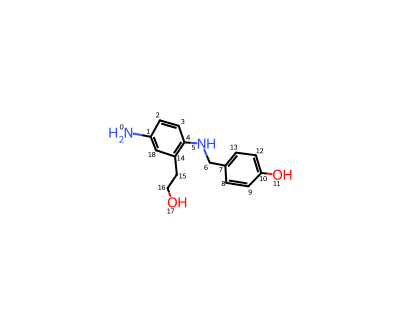 Nc1ccc(NCc2ccc(O)cc2)c(CCO)c1